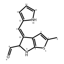 Cc1cc2c(s1)NC(C=O)C2=Cc1ccc[nH]1